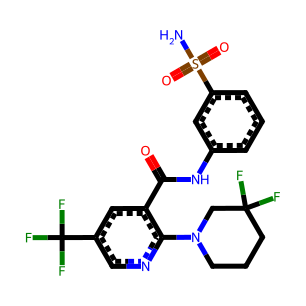 NS(=O)(=O)c1cccc(NC(=O)c2cc(C(F)(F)F)cnc2N2CCCC(F)(F)C2)c1